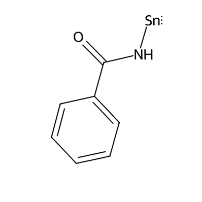 O=C([NH][Sn])c1ccccc1